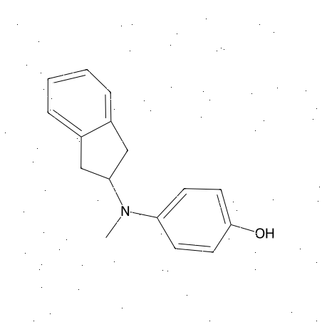 CN(c1ccc(O)cc1)C1Cc2ccccc2C1